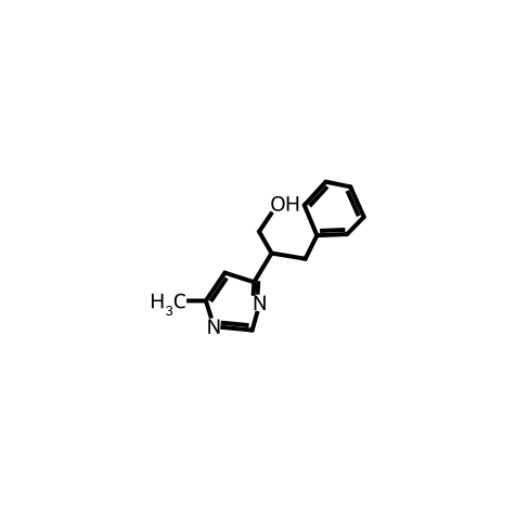 Cc1cc(C(CO)Cc2ccccc2)ncn1